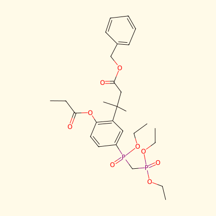 CCOP(=O)(CP(=O)(OCC)c1ccc(OC(=O)CC)c(C(C)(C)CC(=O)OCc2ccccc2)c1)OCC